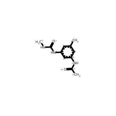 CNC(=O)Nc1cc(C)cc(NC(C)=O)c1